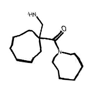 [NH]CC1(C(=O)N2CCCCC2)CCCCCC1